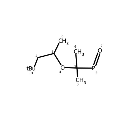 CC(CC(C)(C)C)OC(C)(C)P=O